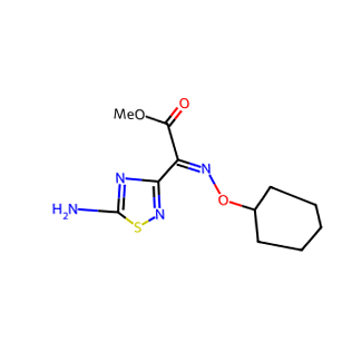 COC(=O)C(=NOC1CCCCC1)c1nsc(N)n1